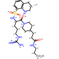 C[C@@H]1CNc2c(cccc2S(=O)(=O)NC(CCCNC(=N)N)C(=O)N2CCC(CCC(=O)NCCC(=O)O)CC2)C1